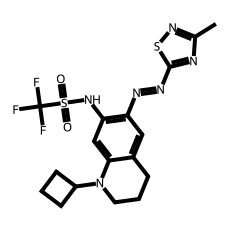 Cc1nsc(N=Nc2cc3c(cc2NS(=O)(=O)C(F)(F)F)N(C2CCC2)CCC3)n1